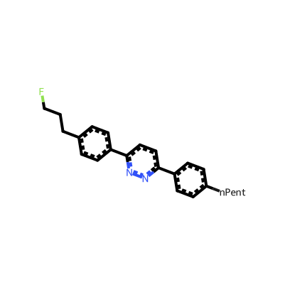 CCCCCc1ccc(-c2ccc(-c3ccc(CCCF)cc3)nn2)cc1